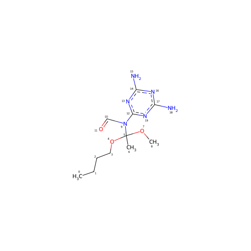 CCCCOC(C)(OC)N(C=O)c1nc(N)nc(N)n1